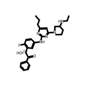 CCCc1cc(N2CCCC(NCC)C2)nc(Nc2ccc(F)c([C@@H](O)C(=O)c3ccccc3)c2)n1